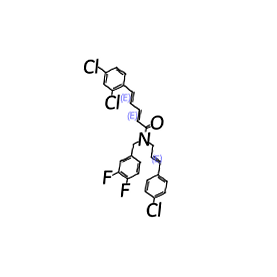 O=C(/C=C/C=C/c1ccc(Cl)cc1Cl)N(C/C=C/c1ccc(Cl)cc1)Cc1ccc(F)c(F)c1